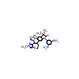 C=CCC1=C(c2cc3c(cc2C)C(C)(C)C(=O)N3c2cc(N)cc(N)c2)CCCc2cn(C)nc21